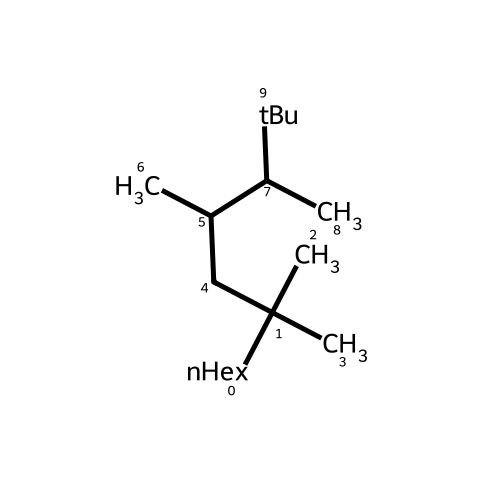 CCCCCCC(C)(C)CC(C)C(C)C(C)(C)C